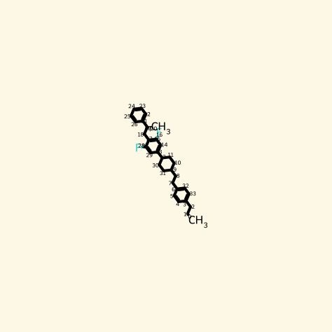 CCCc1ccc(CCC2CCC(c3cc(F)c(C[C@@H](C)c4ccccc4)c(F)c3)CC2)cc1